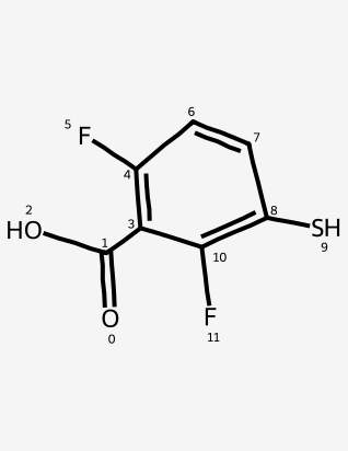 O=C(O)c1c(F)ccc(S)c1F